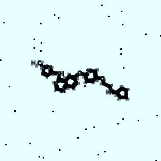 Cn1ccc(Nc2ncnc3ccc(Oc4ccc(OCCNC5CCCC5)cn4)cc23)n1